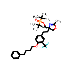 CC1=NC(CCc2ccc(OCCCCc3ccccc3)c(C(F)(F)F)c2)(COP(=O)(C(C)(C)C)C(C)(C)C)CO1